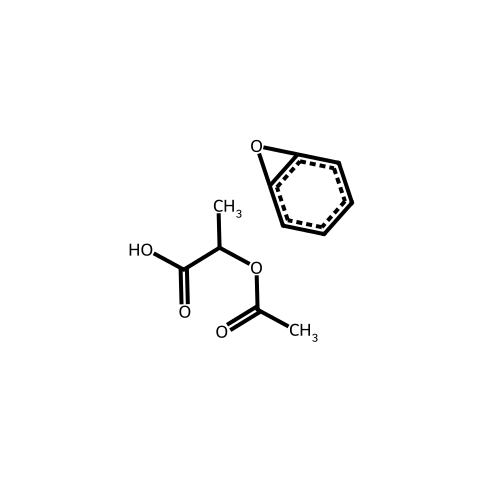 CC(=O)OC(C)C(=O)O.c1ccc2c(c1)O2